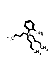 CCCC[N+](CCCC)(CCCC)c1ccccc1O.[Cl-]